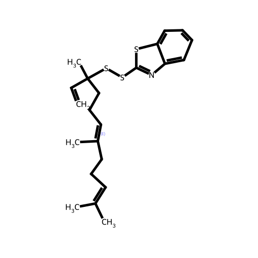 C=CC(C)(CC/C=C(\C)CCC=C(C)C)SSc1nc2ccccc2s1